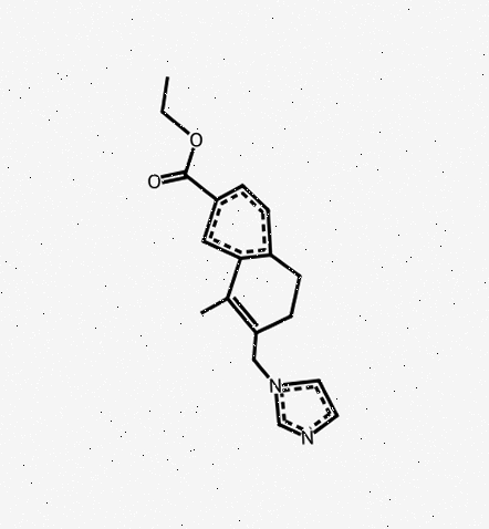 CCOC(=O)c1ccc2c(c1)C(C)=C(Cn1ccnc1)CC2